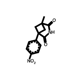 CC12CC(c3ccc([N+](=O)[O-])cc3)(C1)C(=O)NC2=O